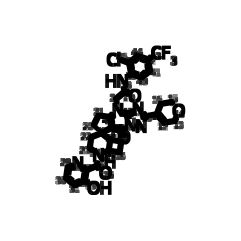 O=C(Cn1c2c(c(=O)n3nc(C4=CCOCC4)nc13)[C@@]1(CC2)CCN(C(=O)c2ncccc2O)[C@@H]2CC[C@@H]21)Nc1ccc(C(F)(F)F)cc1Cl